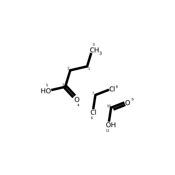 CCCC(=O)O.ClCCl.O=CO